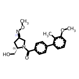 CO/N=C1/C[C@@H](CO)N(C(=O)c2ccc(-c3cccc(OC)c3C)cc2)C1